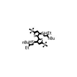 CCCCC(CC)C[SiH]=C1C=C([Si](C)(C)C)SC1C1SC([Si](C)(C)C)=CC1=[SiH]CC(CC)CCCC